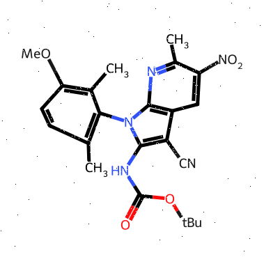 COc1ccc(C)c(-n2c(NC(=O)OC(C)(C)C)c(C#N)c3cc([N+](=O)[O-])c(C)nc32)c1C